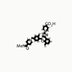 CNC(=O)C1CCN(Cc2ccc(COc3c(C)cccc3-c3csc(N4CCC(C(=O)O)CC4)n3)c(C)c2)CC1